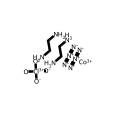 NCCN.NCCN.[Co+3].[N-]=[N+]=[N-].[N-]=[N+]=[N-].[O-][Cl+3]([O-])([O-])[O-]